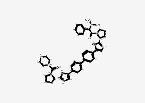 CN(C)C(C(=O)N1CCC[C@H]1c1ncc(-c2ccc(-c3ccc(-c4cnc([C@@H]5CCCN5C(=O)N5CCOCC5)[nH]4)cc3)cc2)[nH]1)c1ccccc1